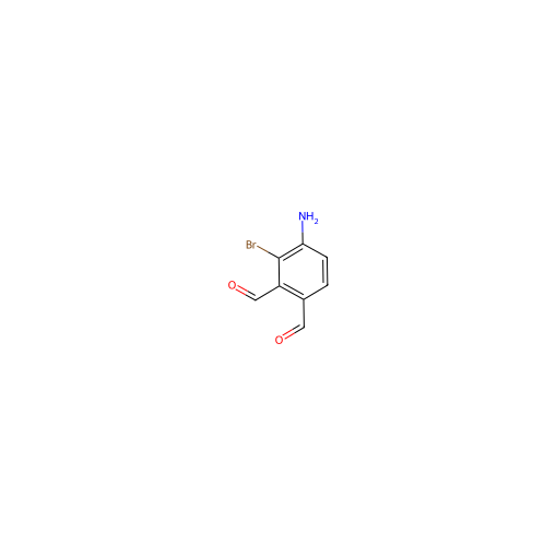 Nc1ccc(C=O)c(C=O)c1Br